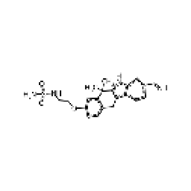 CC1(C)c2cc(OCCNS(N)(=O)=O)ccc2Cc2c1[nH]c1cc(C=N)ccc21